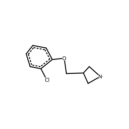 Clc1ccccc1OCC1C[N]C1